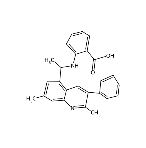 Cc1cc(C(C)Nc2ccccc2C(=O)O)c2cc(-c3ccccc3)c(C)nc2c1